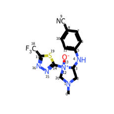 CN1CC(Nc2ccc(C#N)cc2)[N+]([O-])(c2nnc(C(F)(F)F)s2)C1